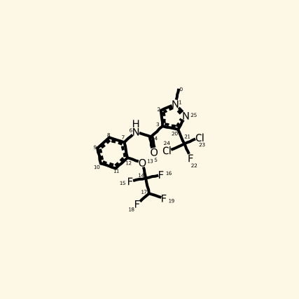 Cn1cc(C(=O)Nc2ccccc2OC(F)(F)C(F)F)c(C(F)(Cl)Cl)n1